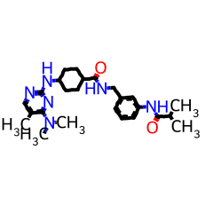 Cc1cnc(NC2CCC(C(=O)NCc3cccc(NC(=O)C(C)C)c3)CC2)nc1N(C)C